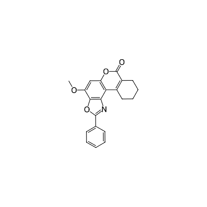 COc1cc2oc(=O)c3c(c2c2nc(-c4ccccc4)oc12)CCCC3